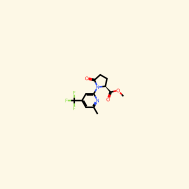 COC(=O)[C@@H]1CCC(=O)N1c1cc(C(F)(F)F)cc(C)n1